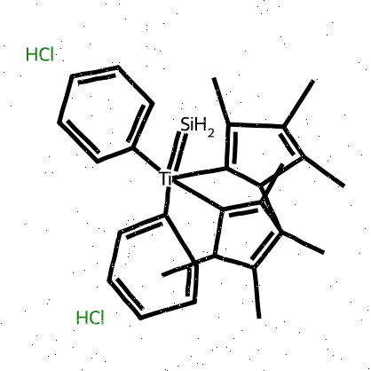 CC1=C(C)C(C)[C]([Ti](=[SiH2])([C]2=C(C)C(C)=C(C)C2C)([c]2ccccc2)[c]2ccccc2)=C1C.Cl.Cl